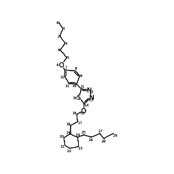 CCCCCCOc1ccc(-c2nnc(OCCCC3CCCCC3CCCCC)s2)cc1